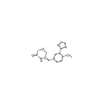 Cc1ccc(C[C@@H]2COCC(=O)N2)cc1-n1nccn1